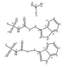 CS(=O)(=O)NC(=O)CC[n+]1csc2ccccc21.CS(=O)(=O)NC(=O)CC[n+]1csc2ccccc21.[O-]B([O-])F